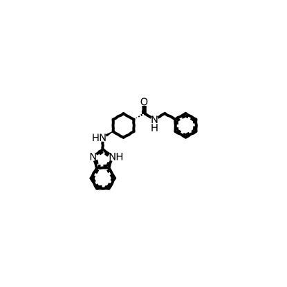 O=C(NCc1ccccc1)[C@H]1CC[C@H](Nc2nc3ccccc3[nH]2)CC1